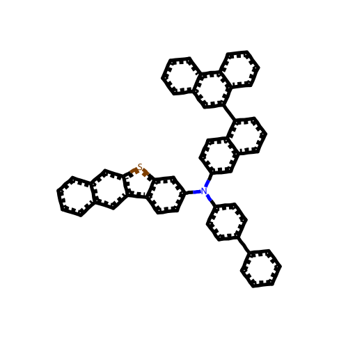 c1ccc(-c2ccc(N(c3ccc4c(-c5cc6ccccc6c6ccccc56)cccc4c3)c3ccc4c(c3)sc3cc5ccccc5cc34)cc2)cc1